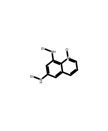 CCNc1cc(NCC)c2c(ccc[n+]2[O-])c1